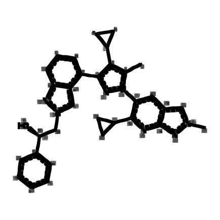 Cc1c(C2CC2)c(-c2cccc3nn(C[C@H](O)c4ccccc4)cc23)nn1-c1cc2cn(C)nc2nc1C1CC1